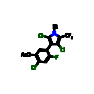 CCn1c(Cl)c(-c2cc(OC(C)=O)c(Cl)cc2F)c(Cl)c1C(F)(F)F